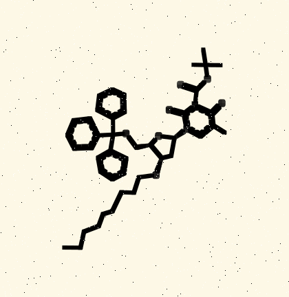 CCCCCCCCCO[C@@H]1C[C@H](n2cc(C)c(=O)n(C(=O)OC(C)(C)C)c2=O)O[C@@H]1COC(c1ccccc1)(c1ccccc1)c1ccccc1